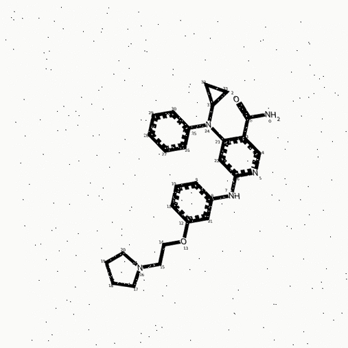 NC(=O)c1cnc(Nc2cccc(OCCN3CCCC3)c2)cc1N(c1ccccc1)C1CC1